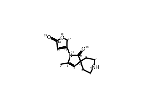 CC1=CC2(CCNCC2)C(=O)N1C1=CC(=O)OC1